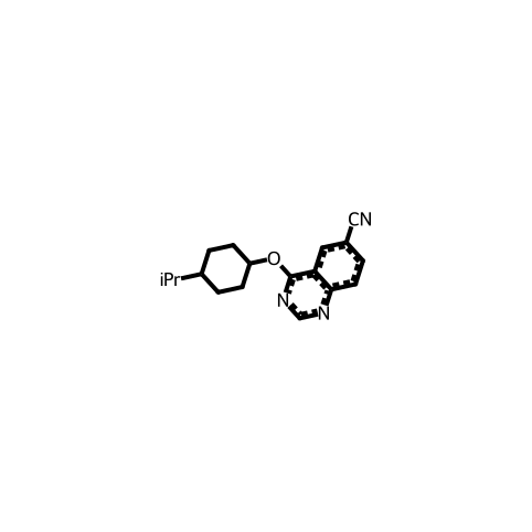 CC(C)C1CCC(Oc2ncnc3ccc(C#N)cc23)CC1